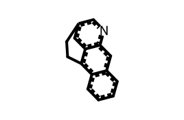 c1ccc2c3c4cc(cnc4cc2c1)CC3